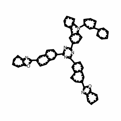 c1ccc(-c2cccc(-n3c4ccccc4c4cc(-c5nc(-c6ccc7cc(-c8nc9ccccc9o8)ccc7c6)nc(-c6ccc7cc(-c8nc9ccccc9o8)ccc7c6)n5)ccc43)c2)cc1